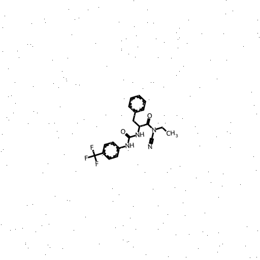 CCN(C#N)C(=O)C(Cc1ccccc1)NC(=O)Nc1ccc(C(F)(F)F)cc1